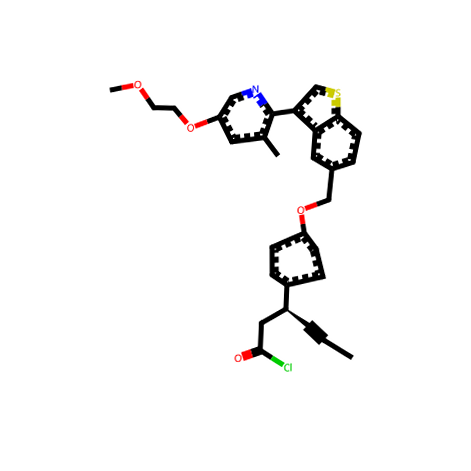 CC#C[C@@H](CC(=O)Cl)c1ccc(OCc2ccc3scc(-c4ncc(OCCOC)cc4C)c3c2)cc1